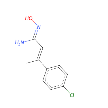 C/C(=C\C(N)=N\O)c1ccc(Cl)cc1